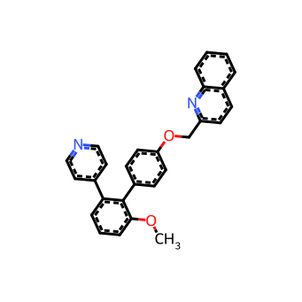 COc1cccc(-c2ccncc2)c1-c1ccc(OCc2ccc3ccccc3n2)cc1